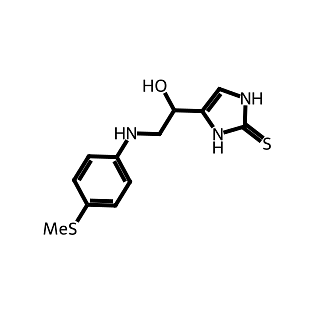 CSc1ccc(NCC(O)c2c[nH]c(=S)[nH]2)cc1